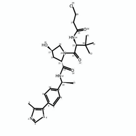 Cc1ncsc1-c1ccc([C@H](C)NC(=O)[C@@H]2C[C@@H](O)CN2C(=O)[C@@H](NC(=O)CCCl)C(C)(C)C)cc1